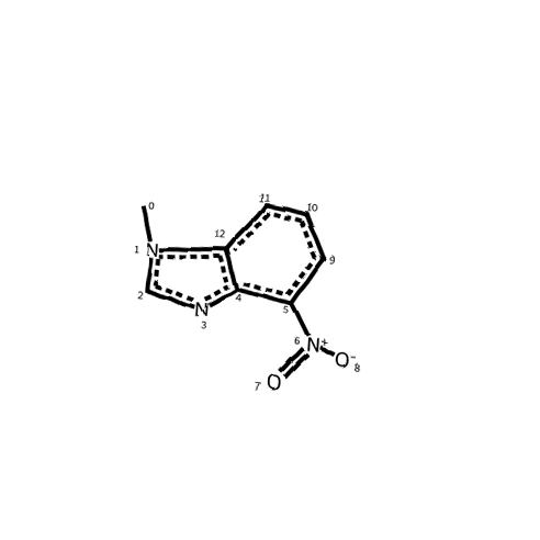 Cn1cnc2c([N+](=O)[O-])cccc21